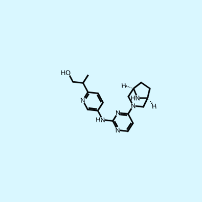 CC(CO)c1ccc(Nc2nccc(N3C[C@H]4CC[C@@H](C3)N4)n2)cn1